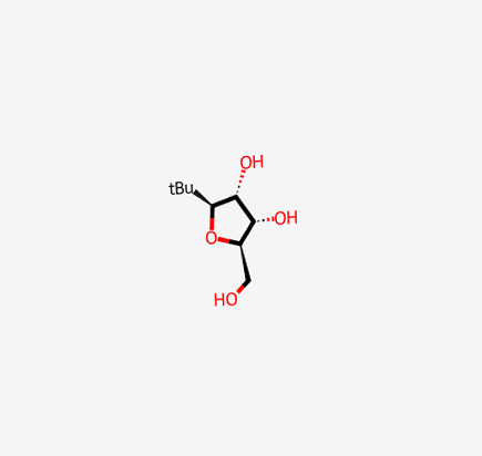 CC(C)(C)[C@@H]1O[C@H](CO)[C@@H](O)[C@H]1O